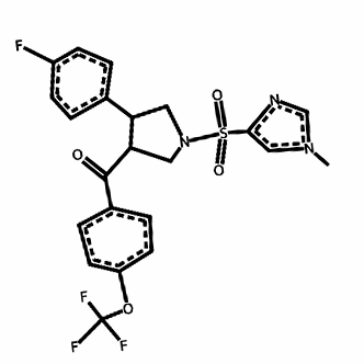 Cn1cnc(S(=O)(=O)N2CC(C(=O)c3ccc(OC(F)(F)F)cc3)C(c3ccc(F)cc3)C2)c1